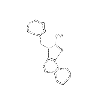 O=C(O)C1=Nc2c(ccc3ccccc23)C1Cc1ccccc1